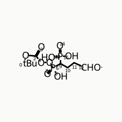 CC(C)(C)OC(=O)OOP(=O)(O)C(CC[C]=O)P(=O)(O)O